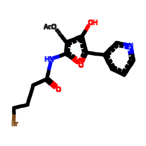 CC(=O)Oc1c(NC(=O)CCCBr)oc(-c2cccnc2)c1O